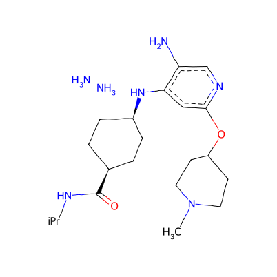 CC(C)NC(=O)[C@H]1CC[C@@H](Nc2cc(OC3CCN(C)CC3)ncc2N)CC1.N.N